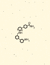 NC(=O)c1ccc(-c2ccnc(NCc3cccc(-c4cccc(N)c4)c3)n2)cc1